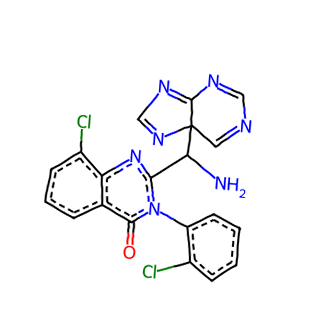 NC(c1nc2c(Cl)cccc2c(=O)n1-c1ccccc1Cl)C12C=NC=NC1=NC=N2